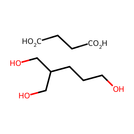 O=C(O)CCC(=O)O.OCCCC(CO)CO